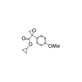 COc1ccc(C2(C(=O)OC3CC3)CO2)cc1